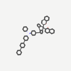 C1=CC2C(Oc3c(ccc4ccccc34)C23c2ccccc2-c2c(-c4ccc(N(c5ccccc5)c5ccc(-c6ccc(-c7ccccc7)cc6)cc5)cc4)cccc23)c2ccccc21